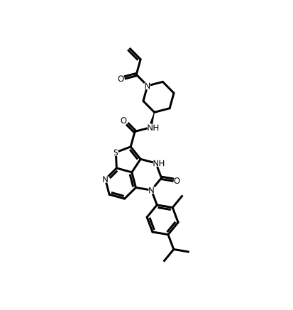 C=CC(=O)N1CCC[C@@H](NC(=O)c2sc3nccc4c3c2NC(=O)N4c2ccc(C(C)C)cc2C)C1